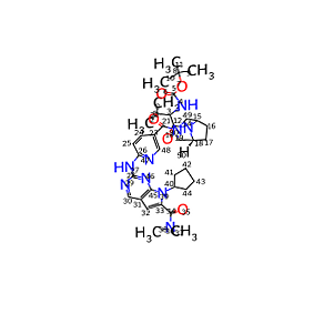 CC(C)C(NC(=O)OC(C)(C)C)C(=O)N1C2CC[C@@H]1CN(C(=O)c1ccc(Nc3ncc4cc(C(=O)N(C)C)n(C5CCCC5)c4n3)nc1)C2